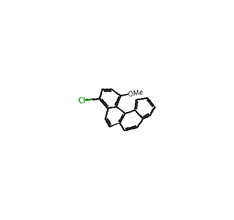 COc1ccc(Cl)c2ccc3ccc4ccccc4c3c12